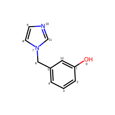 Oc1cccc(Cn2ccnc2)c1